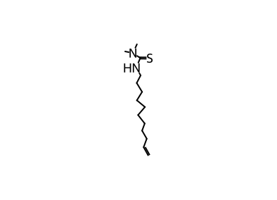 C=CCCCCCCCCCNC(=S)N(C)C